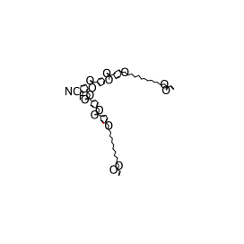 C=CC(=O)OCCCCCCCCCCCOc1ccc(C(=O)Oc2ccc(C(=O)Oc3ccc(C#N)c(F)c3OC(=O)c3ccc(OC(=O)c4ccc(OCCCCCCCCCCCOC(=O)C=C)cc4)cc3)cc2)cc1